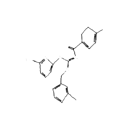 O=C(/N=C(/NCc1cccc(Cl)c1)Nc1cccc(O)n1)C1=CC=C(Cl)CC1